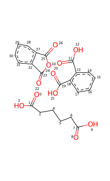 O=C(O)CCCCC(=O)O.O=C(O)c1ccccc1C(=O)O.O=C1OC(=O)c2ccccc21